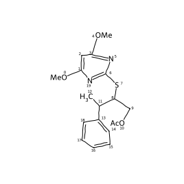 COc1cc(OC)nc(SC(COC(C)=O)C(C)c2ccccc2)n1